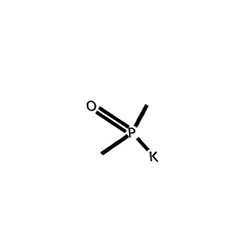 C[P](C)(=O)[K]